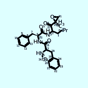 CC(C)CC(NC(=O)[C@H](Cc1ccccc1)NC(=O)C(Cc1ccccc1)NC(C)(C)C)C(=O)[C@@]1(C)CO1